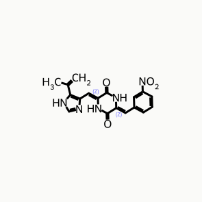 C=C(C)c1[nH]cnc1/C=c1\[nH]c(=O)/c(=C/c2cccc([N+](=O)[O-])c2)[nH]c1=O